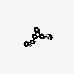 CC1(C)OB(c2ccc3c(c2)c2ccccc2c2ccc(-c4ccc5oc6ccccc6c5c4)cc23)OC1(C)C